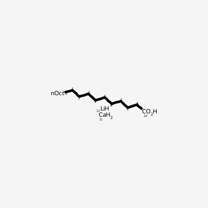 CCCCCCCCCCCCCCCCCC(=O)O.[CaH2].[LiH]